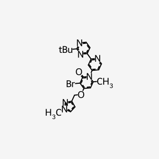 Cc1cc(OCc2ccn(C)n2)c(Br)c(=O)n1-c1ccnc(-c2ccnc(C(C)(C)C)n2)c1